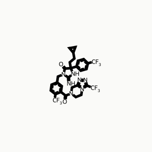 N=C1NC(CCC2CC2)(c2ccc(C(F)(F)F)cc2)C(=O)N1Cc1ccc(C(F)(F)F)c(C(=O)N2CCn3c(nnc3C(F)(F)F)C2)c1